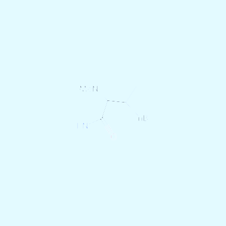 CCCCC(C)C(NC)C(N)=O